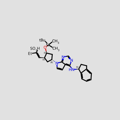 CCC(=C[C@@H]1C[C@@H](n2ccc3c(N[C@H]4CCc5ccccc54)ncnc32)C[C@@H]1O[Si](C)(C)C(C)(C)C)S(=O)(=O)O